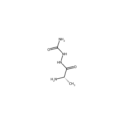 C[C@H](N)C(=O)NNC(N)=O